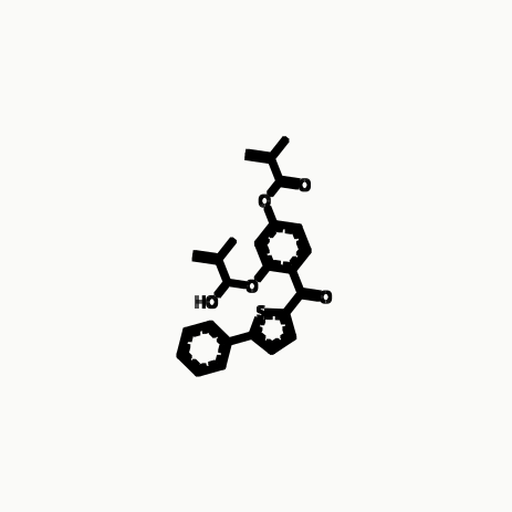 C=C(C)C(=O)Oc1ccc(C(=O)c2ccc(-c3ccccc3)s2)c(OC(O)C(=C)C)c1